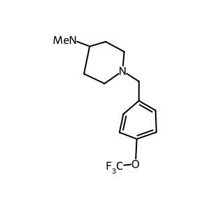 CNC1CCN(Cc2ccc(OC(F)(F)F)cc2)CC1